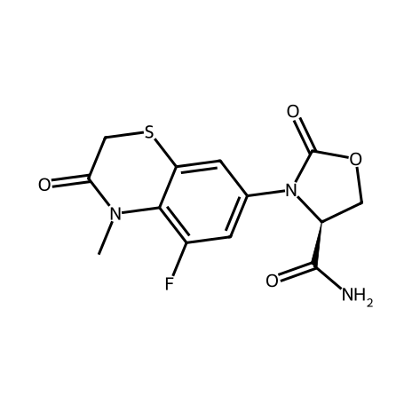 CN1C(=O)CSc2cc(N3C(=O)OC[C@H]3C(N)=O)cc(F)c21